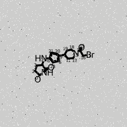 O=C1CCC(Nc2ccc(C3CCN(C(=O)CBr)CC3)cc2)C(=O)N1